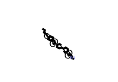 C/C=C/C(=O)O[C@H]1CC[C@H]([C@H]2CC[C@H](C(=O)Oc3ccc(OCCCC)cc3)CC2)CC1